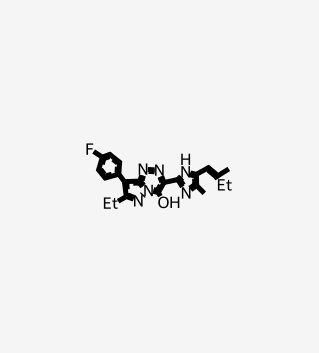 CC/C(C)=C\c1[nH]c(-c2nnc3c(-c4ccc(F)cc4)c(CC)nn3c2O)nc1C